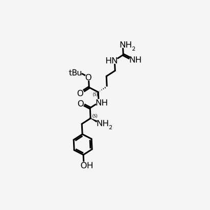 CC(C)(C)OC(=O)[C@H](CCCNC(=N)N)NC(=O)[C@@H](N)Cc1ccc(O)cc1